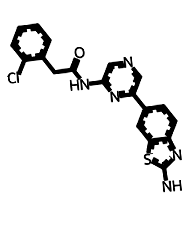 CC(=O)Nc1nc2ccc(-c3cncc(NC(=O)Cc4ccccc4Cl)n3)cc2s1